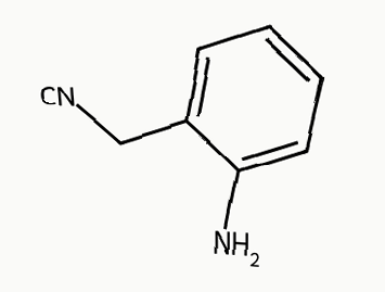 [C-]#[N+]Cc1ccccc1N